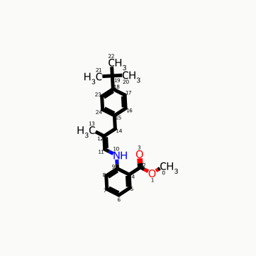 COC(=O)c1ccccc1NC=C(C)Cc1ccc(C(C)(C)C)cc1